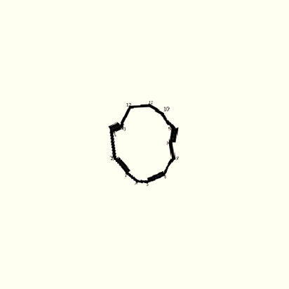 [C]1=C/C=C\C/C=C\C/C=C/CCC/1